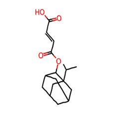 CC(C)C12CC3CC(CC(C3)C1OC(=O)C=CC(=O)O)C2